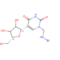 CCNCn1cc([C@@H]2O[C@H](CO)C(O)C2O)c(=O)[nH]c1=O